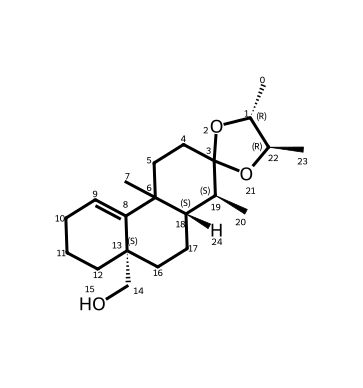 C[C@H]1OC2(CCC3(C)C4=CCCC[C@]4(CO)CC[C@H]3[C@@H]2C)O[C@@H]1C